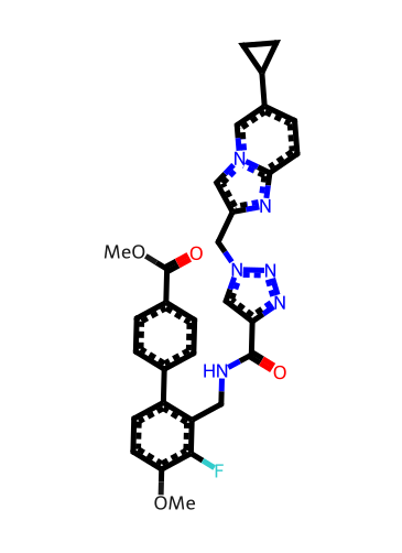 COC(=O)c1ccc(-c2ccc(OC)c(F)c2CNC(=O)c2cn(Cc3cn4cc(C5CC5)ccc4n3)nn2)cc1